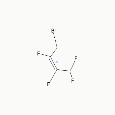 F/C(CBr)=C(\F)C(F)F